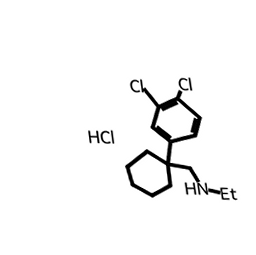 CCNCC1(c2ccc(Cl)c(Cl)c2)CCCCC1.Cl